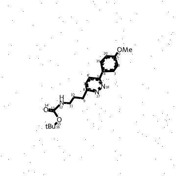 COc1ccc(-c2ccc(CCCNC(=O)OC(C)(C)C)nn2)cc1